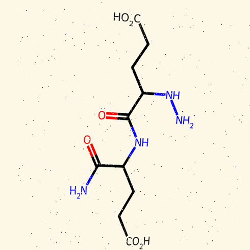 NNC(CCC(=O)O)C(=O)NC(CCC(=O)O)C(N)=O